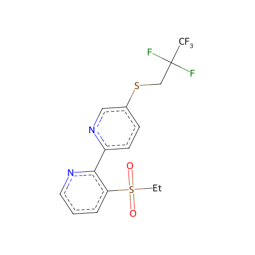 CCS(=O)(=O)c1cccnc1-c1ccc(SCC(F)(F)C(F)(F)F)cn1